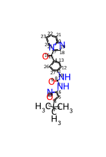 CC(C)(C)c1cc(NC(=O)Nc2ccc(C(=O)c3cnc4ccccn34)cc2)no1